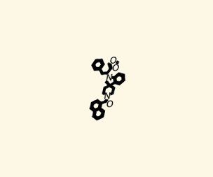 O=C(c1cccc2ccccc12)N1CCC2(CC1)CN(C(Cc1ccccc1)C1=COCO1)c1ccccc12